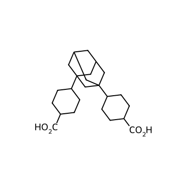 O=C(O)C1CCC(C23CC4CC(C2)CC(C2CCC(C(=O)O)CC2)(C4)C3)CC1